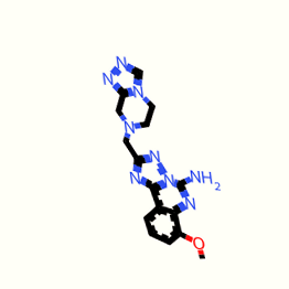 COc1cccc2c1nc(N)n1nc(CN3CCn4cnnc4C3)nc21